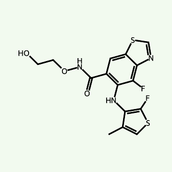 Cc1csc(F)c1Nc1c(C(=O)NOCCO)cc2scnc2c1F